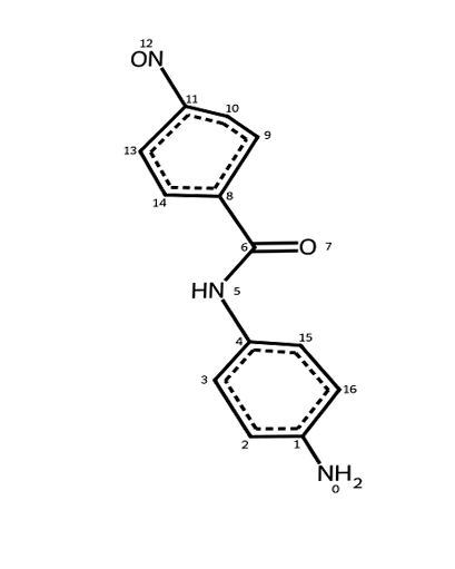 Nc1ccc(NC(=O)c2ccc(N=O)cc2)cc1